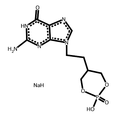 Nc1nc2c(ncn2CCC2COP(=O)(O)OC2)c(=O)[nH]1.[NaH]